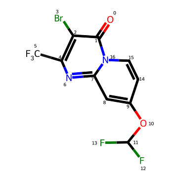 O=c1c(Br)c(C(F)(F)F)nc2cc(OC(F)F)ccn12